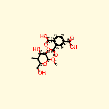 COC1OC(CO)C(C)C(O)C1OC(=O)c1cc(C(=O)O)ccc1C(=O)O